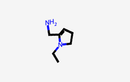 CCN1CCC=C1CN